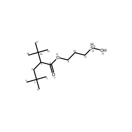 CC(C)(C)CC(C(=O)OCCC[SiH2]O)C(C)(C)C